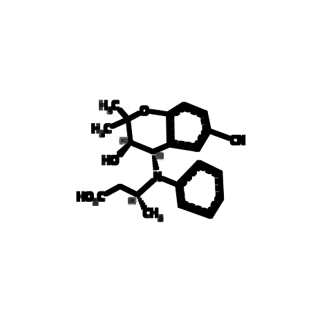 C[C@H](CC(=O)O)N(c1ccccc1)[C@H]1c2cc(C#N)ccc2OC(C)(C)[C@@H]1O